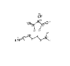 CN(C)CCCN=C=N.O=C1CCC(=O)N1O